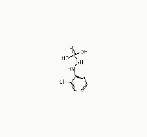 O=P(O)(O)NNc1ccccc1Cl